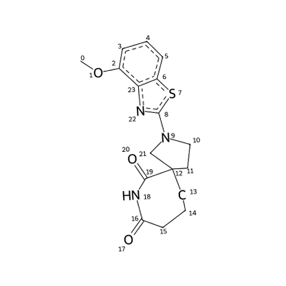 COc1cccc2sc(N3CCC4(CCCC(=O)NC4=O)C3)nc12